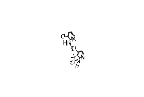 CC1(C)C(=O)Nc2nccc(C3CC(Nc4ncccc4Cl)C3)c21